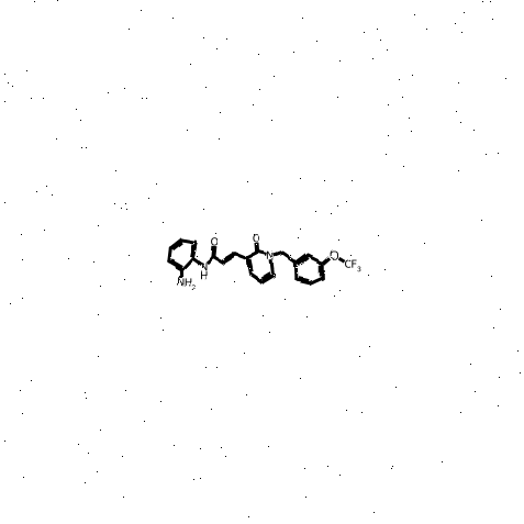 Nc1ccccc1NC(=O)/C=C/c1cccn(Cc2cccc(OC(F)(F)F)c2)c1=O